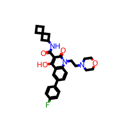 O=C(NC1CC2(CCC2)C1)c1c(O)c2cc(-c3ccc(F)cc3)ccc2n(CCN2CCOCC2)c1=O